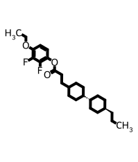 CCC[C@H]1CC[C@H](C2CCC(CCC(=O)Oc3ccc(OCC)c(F)c3F)CC2)CC1